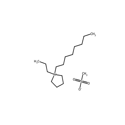 CCCCCCCC[N+]1(CCC)CCCC1.CS(=O)(=O)[O-]